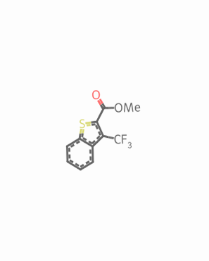 COC(=O)c1sc2ccccc2c1C(F)(F)F